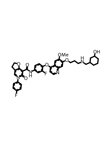 COc1cc2c(Oc3ccc(NC(=O)c4c5c(cn(-c6ccc(F)cc6)c4=O)CCO5)cc3F)ccnc2cc1OCCCNCC1CCCC(O)C1